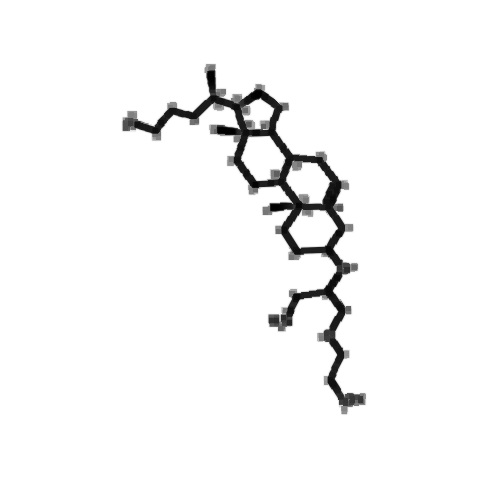 CCCCCCCCCCCCOCC(CN)OC1CC[C@@]2(C)C(=CCC3C2CC[C@@]2(C)C3CC[C@@H]2[C@H](C)CCCC(C)C)C1